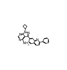 Nc1ncnc2c1c(-c1ccc3ccc(-c4ccccc4)nc3c1)nn2C1CCC1